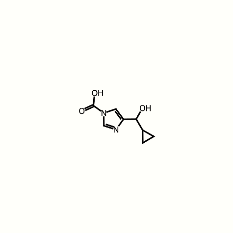 O=C(O)n1cnc(C(O)C2CC2)c1